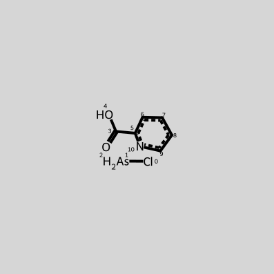 Cl[AsH2].O=C(O)c1ccccn1